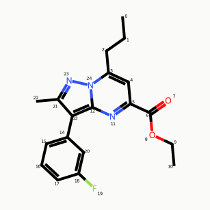 CCCc1cc(C(=O)OCC)nc2c(-c3cccc(F)c3)c(C)nn12